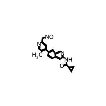 Cc1cnc(CN=O)cc1-c1ccc2cc(NC(=O)C3CC3)ncc2c1